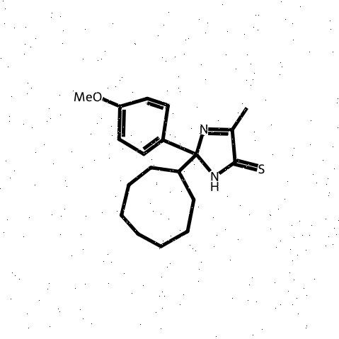 COc1ccc(C2(C3CCCCCCC3)N=C(C)C(=S)N2)cc1